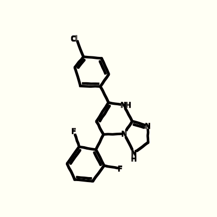 Fc1cccc(F)c1C1C=C(c2ccc(Cl)cc2)NC2=NCNN21